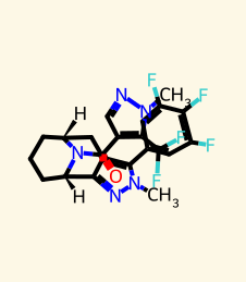 Cn1nc2c(c1-c1cc(F)c(F)c(F)c1)C[C@H]1CCC[C@@H]2N1C(=O)c1cnn(C)c1C(F)F